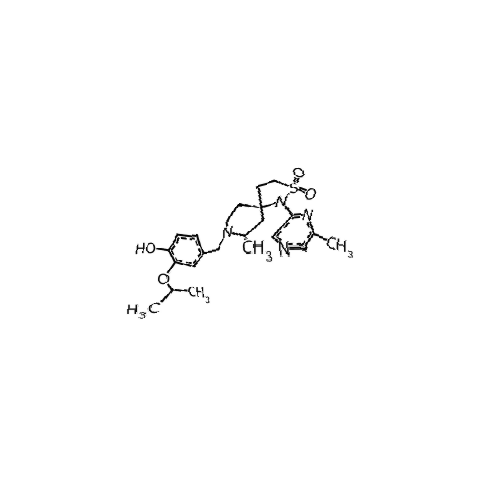 Cc1cncc(N2[C@@]3(CCN(Cc4ccc(O)c(OC(C)C)c4)[C@@H](C)C3)CCS2(=O)=O)n1